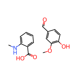 CNc1ccccc1C(=O)O.COc1cc(C=O)ccc1O